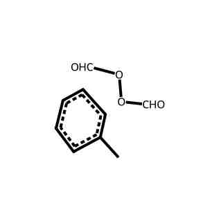 Cc1ccccc1.O=COOC=O